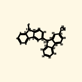 Cn1c2ccccc2c2cc(-n3c4ccccc4c4ccc(C#N)cc43)ccc21